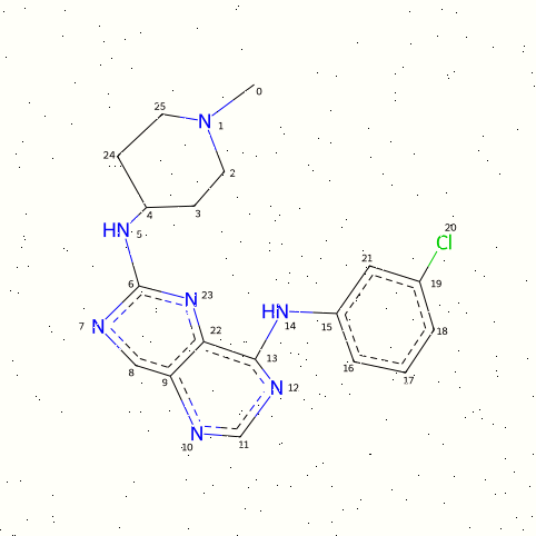 CN1CCC(Nc2ncc3ncnc(Nc4cccc(Cl)c4)c3n2)CC1